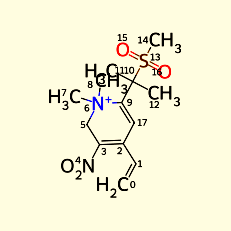 C=CC1=C([N+](=O)[O-])C[N+](C)(C)C(C(C)(C)S(C)(=O)=O)=C1